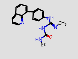 CCNC(=O)N/C(=N/C)Nc1ccc(-c2cccc3cccnc23)cc1